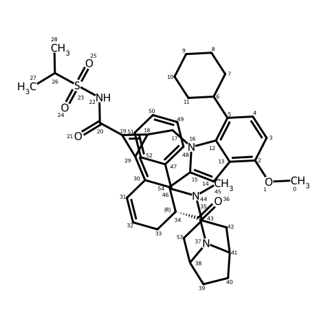 COc1ccc(C2CCCCC2)c2c1cc1n2CC2=C(C(=O)NS(=O)(=O)C(C)C)C2=C2C=CC[C@@H](C(=O)N3C4CCC3CC(N(C)Cc3ccccc3)C4)C21